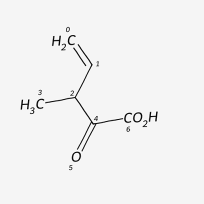 C=CC(C)C(=O)C(=O)O